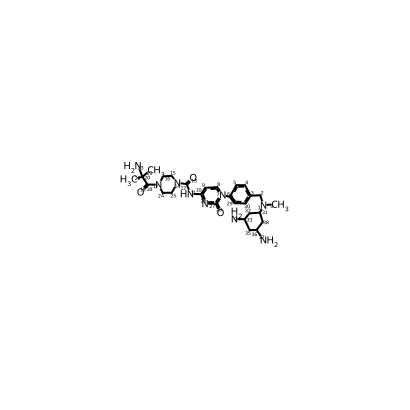 CN(Cc1ccc(-n2ccc(NC(=O)N3CCN(C(=O)C(C)(C)N)CC3)nc2=O)cc1)C1CC(N)CC(N)C1